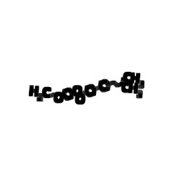 C=CCOc1ccc(OC(=O)c2ccc(-c3ccc(CC[C@@H](C)CC)cc3)cc2)cc1